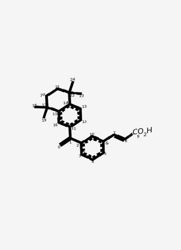 C=C(c1cccc(C=CC(=O)O)c1)c1ccc2c(c1)C(C)(C)CCC2(C)C